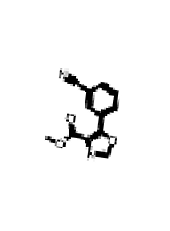 COC(=O)c1ncoc1-c1cccc(C#N)c1